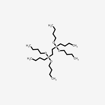 CCCCO[Si](CCCC)(CC[Si](CCCC)(OCCCC)OCCCC)OCCCC